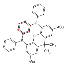 CCCCc1cc(P(c2ccccc2)c2ccccc2)c2c(c1)C(C)(C)c1cc(C(C)(C)C)cc(P(c3ccccc3)c3ccccc3)c1O2